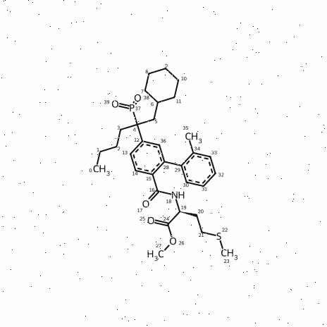 CCCCC(CC1CCCCC1)(c1ccc(C(=O)N[C@@H](CCSC)C(=O)OC)c(-c2ccccc2C)c1)P(=O)=O